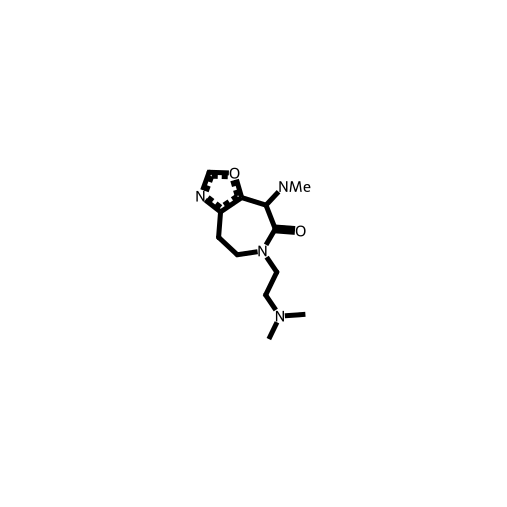 CNC1C(=O)N(CCN(C)C)CCc2ncoc21